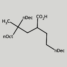 CCCCCCCCCCCCC(CC(C)(CCCCCCCC)CCCCCCCCCC)C(=O)O